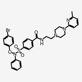 Cc1cccc(N2CCN(CCNC(=O)c3ccc(S(=O)(=O)N(Oc4ccc(Br)cc4)c4ccccc4)cc3)CC2)n1